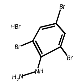 Br.NNc1c(Br)cc(Br)cc1Br